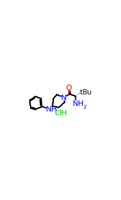 CC(C)(C)[C@H](N)C(=O)N1CCC(Nc2ccccc2)CC1.Cl